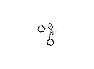 c1ccc(CN[C@@H]2CO[C@@H]2c2ccccc2)cc1